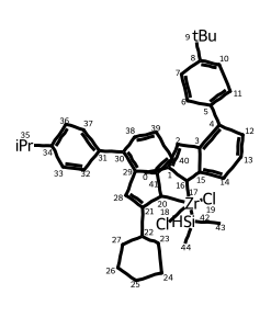 CC1=Cc2c(-c3ccc(C(C)(C)C)cc3)cccc2[CH]1[Zr]([Cl])([Cl])([CH]1C(C2CCCCC2)=Cc2c(-c3ccc(C(C)C)cc3)cccc21)[SiH](C)C